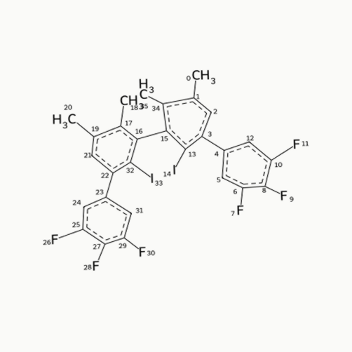 Cc1cc(-c2cc(F)c(F)c(F)c2)c(I)c(-c2c(C)c(C)cc(-c3cc(F)c(F)c(F)c3)c2I)c1C